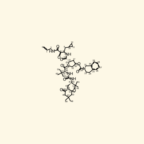 C=CCNC(=O)C(=O)C(CC1CC1)NC(=O)[C@@H]1C[C@@H](OC(=O)N2CCc3ccccc3C2)CN1C(=O)[C@@H](NC(=O)N[C@H](CN1C(=O)CC(C)(C)CC1=O)C(C)(C)C)C(C)(C)C